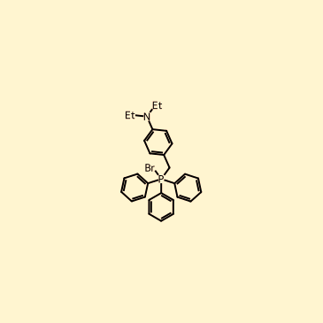 CCN(CC)c1ccc(CP(Br)(c2ccccc2)(c2ccccc2)c2ccccc2)cc1